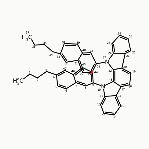 CCCCc1ccc2cc(-n3c4ccccc4c4ccc5c6ccccc6n(-c6ccc7cc(CCCC)ccc7c6)c5c43)ccc2c1